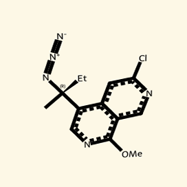 CC[C@@](C)(N=[N+]=[N-])c1cnc(OC)c2cnc(Cl)cc12